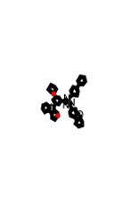 c1ccc(-c2ccc(-c3nc(-c4cc(-c5ccccc5)cc(-n5c6ccccc6c6ccccc65)c4)nc(-c4ccc5c(c4)oc4ccccc45)n3)cc2)cc1